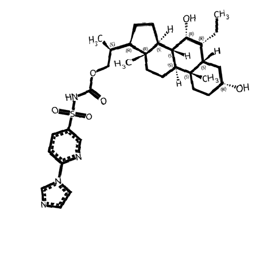 CC[C@H]1[C@@H](O)[C@@H]2[C@H](CC[C@]3(C)[C@@H]([C@H](C)COC(=O)NS(=O)(=O)c4ccc(-n5ccnc5)nc4)CC[C@@H]23)[C@@]2(C)CC[C@@H](O)C[C@@H]12